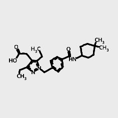 CCc1nn(Cc2ccc(C(=O)NC3CCC(C)(C)CC3)cc2)c(CC)c1CC(=O)O